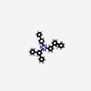 C1=C(c2ccccc2)CCC(c2nc(-c3cc(-c4ccccc4)cc(-c4ccccc4)c3)nc(-c3cccc(-c4cccc5c4sc4ccccc45)c3)n2)=C1